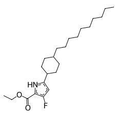 CCCCCCCCCCC1CCC(c2cc(F)c(C(=O)OCC)[nH]2)CC1